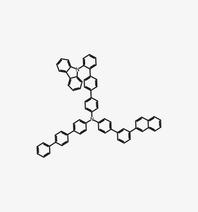 c1ccc(-c2ccc(-c3ccc(N(c4ccc(-c5ccc(-c6ccccc6-n6c7ccccc7c7ccccc76)cc5)cc4)c4ccc(-c5cccc(-c6ccc7ccccc7c6)c5)cc4)cc3)cc2)cc1